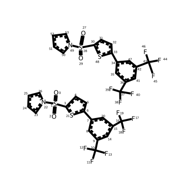 O=S(=O)(c1ccc(-c2cc(C(F)(F)F)cc(C(F)(F)F)c2)s1)n1cccc1.O=S(=O)(c1ccc(-c2cc(C(F)(F)F)cc(C(F)(F)F)c2)s1)n1cccc1